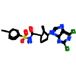 C=C1C(C(=O)NS(=O)(=O)c2ccc(C)cc2)C=CC1n1cnc2c(Cl)nc(Cl)nc21